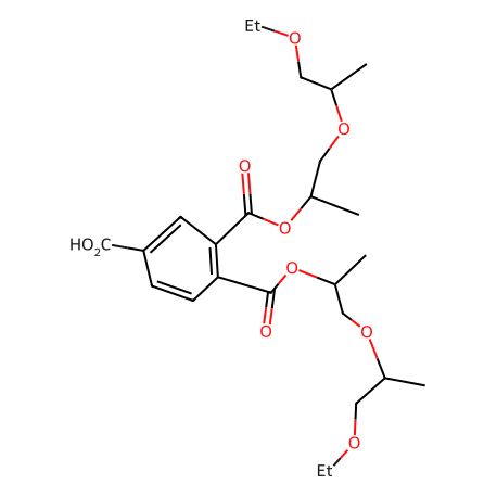 CCOCC(C)OCC(C)OC(=O)c1ccc(C(=O)O)cc1C(=O)OC(C)COC(C)COCC